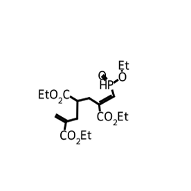 C=C(CC(CC(=C[PH](=O)OCC)C(=O)OCC)C(=O)OCC)C(=O)OCC